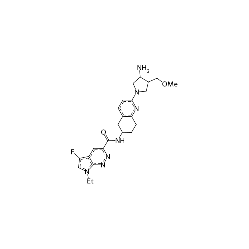 CCn1cc(F)c2cc(C(=O)NC3CCc4nc(N5CC(N)C(COC)C5)ccc4C3)nnc21